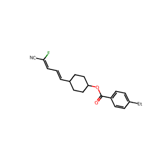 CCc1ccc(C(=O)OC2CCC(/C=C/C=C(F)C#N)CC2)cc1